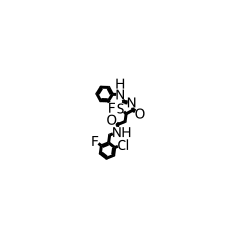 O=C(CC1SC(Nc2ccccc2F)=NC1=O)NCc1c(F)cccc1Cl